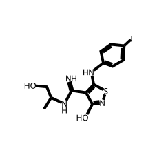 CC(CO)NC(=N)c1c(O)nsc1Nc1ccc(I)cc1